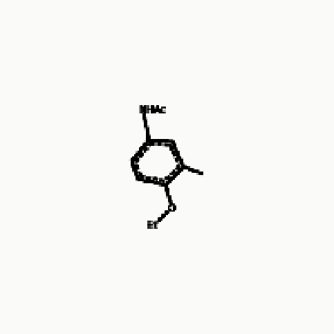 CCOc1ccc(NC(C)=O)cc1C